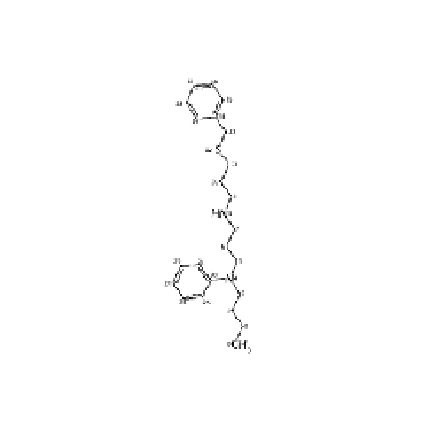 CCCCN(CCCNCCCSCc1ccccc1)c1ccccc1